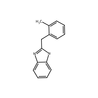 Cc1ccccc1CC1=Nc2ccccc2[N]1